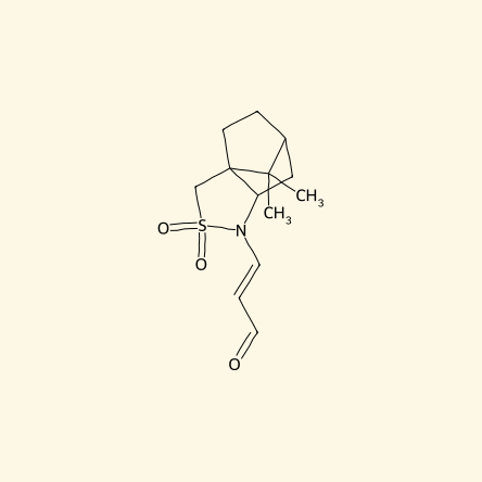 CC1(C)C2CCC13CS(=O)(=O)N(C=CC=O)C3C2